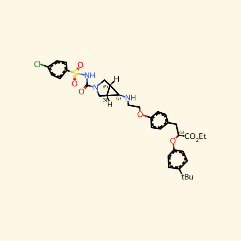 CCOC(=O)[C@H](Cc1ccc(OCCN[C@H]2[C@@H]3CN(C(=O)NS(=O)(=O)c4ccc(Cl)cc4)C[C@@H]32)cc1)Oc1ccc(C(C)(C)C)cc1